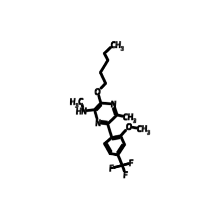 CCCCCOc1nc(C)c(-c2ccc(C(F)(F)F)cc2OC)nc1NC